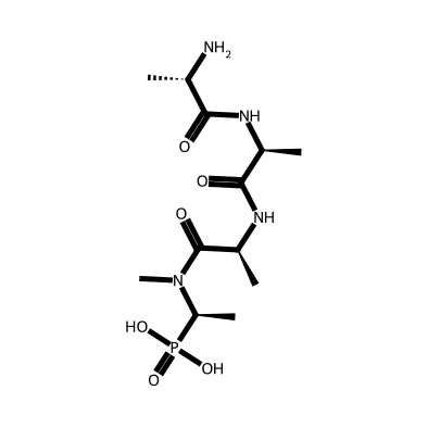 C[C@H](N)C(=O)N[C@@H](C)C(=O)N[C@@H](C)C(=O)N(C)[C@@H](C)P(=O)(O)O